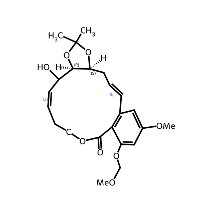 COCOc1cc(OC)cc2c1C(=O)OCC/C=C\C(O)[C@H]1OC(C)(C)O[C@H]1C/C=C/2